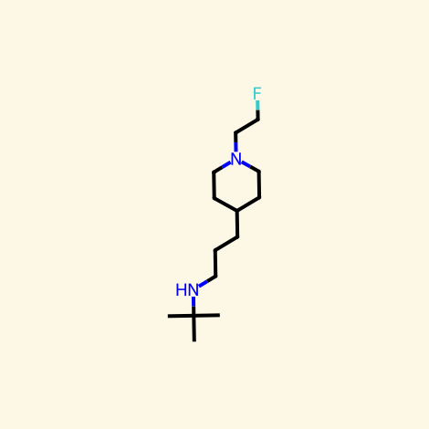 CC(C)(C)NCCCC1CCN(CCF)CC1